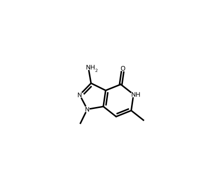 Cc1cc2c(c(N)nn2C)c(=O)[nH]1